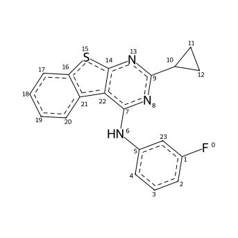 Fc1cccc(Nc2nc(C3CC3)nc3sc4ccccc4c23)c1